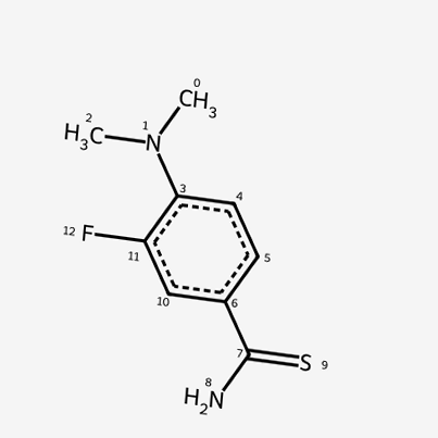 CN(C)c1ccc(C(N)=S)cc1F